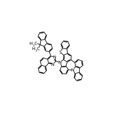 CC1(C)c2ccccc2-c2ccc(-c3nc(-n4c5cccc6c5c5c(cc7c8ccccc8sc7c54)c4cccc5c7ccccc7n6c45)nc4c3ccc3ccccc34)cc21